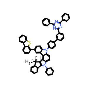 CC1(C)c2ccccc2-c2c1c1c3c4cc(-c5cccc6c5sc5ccccc56)ccc4n(-c4ccc(-c5cccc(-c6nc(-c7ccccc7)nc(-c7ccccc7)n6)c5)cc4)c3ccc1n2-c1ccccc1